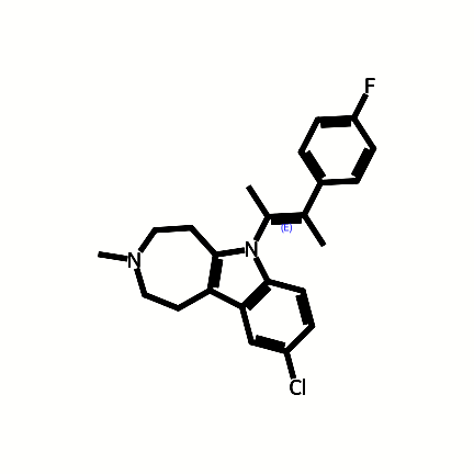 C/C(=C(/C)n1c2c(c3cc(Cl)ccc31)CCN(C)CC2)c1ccc(F)cc1